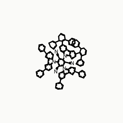 N#Cc1c(-n2c3ccc(C4=C(c5ccccc5)C=CCC4C4=CCCC=C4)cc3c3cc(C4=C(c5ccccc5)C=CCC4C4=CCCC=C4)ccc32)c(C#N)c(-n2c3ccc(-c4ccccc4)cc3c3cc(-c4ccccc4)ccc32)c(C#N)c1-n1c2ccc(-c3ccccc3)cc2c2cc(-c3ccccc3)ccc21